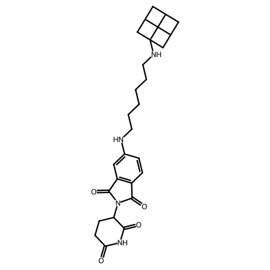 O=C1CCC(N2C(=O)c3ccc(NCCCCCCNC45CC6CC7CC(C4)C765)cc3C2=O)C(=O)N1